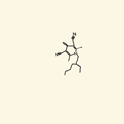 C=C1C(C#N)=C(C)N(CC(CC)CCCC)C(C)=C1C#N